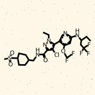 CCC(CC(F)(F)F)Nc1cc(OC(F)F)c(-c2c(Cl)c(C(=O)NCC3CCC(S(C)(=O)=O)CC3)nn2CC)cn1